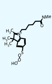 CNC(=O)CCCCC[N+]1=C(C)C(C)(C)c2cc(SOOO)ccc21